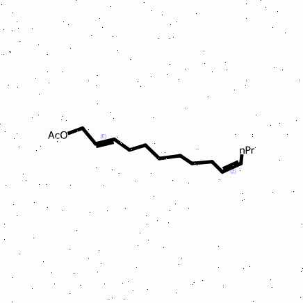 CCC/C=C\CCCCCC/C=C/COC(C)=O